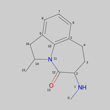 CNC1CCc2cccc3c2N(C1=O)C(C)C3